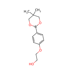 CC1(C)COB(c2ccc(OCCO)cc2)OC1